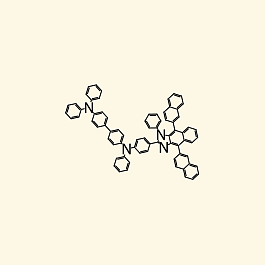 c1ccc(N(c2ccccc2)c2ccc(-c3ccc(N(c4ccccc4)c4ccc(-c5nc6c(-c7ccc8ccccc8c7)c7ccccc7c(-c7ccc8ccccc8c7)c6n5-c5ccccc5)cc4)cc3)cc2)cc1